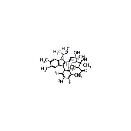 [2H]c1c([2H])c(-c2c(/C=C/[C@@](C)(O)C(C)[C@@](C)(O)C(C)C(=O)O)n(C(C)CC)c3cc(C)c(C)cc23)c(C)c(C)c1F